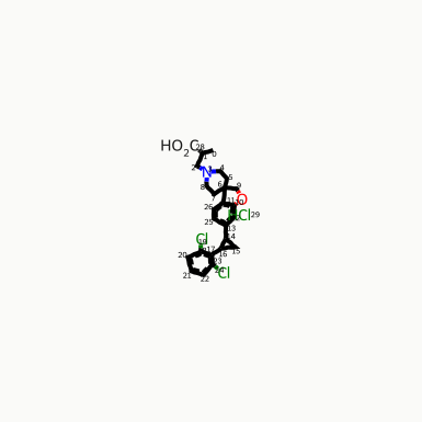 CC(CN1CCC2(CC1)COc1cc(C3CC3c3c(Cl)cccc3Cl)ccc12)C(=O)O.Cl